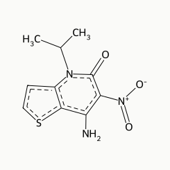 CC(C)n1c(=O)c([N+](=O)[O-])c(N)c2sccc21